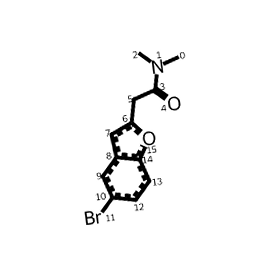 CN(C)C(=O)Cc1cc2cc(Br)ccc2o1